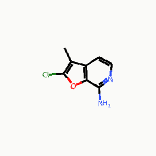 Cc1c(Cl)oc2c(N)nccc12